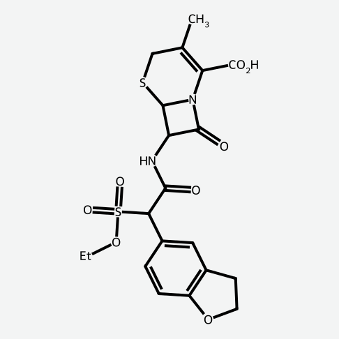 CCOS(=O)(=O)C(C(=O)NC1C(=O)N2C(C(=O)O)=C(C)CSC12)c1ccc2c(c1)CCO2